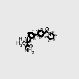 CC(N)(Cc1cccc(-c2ccc(C(=O)N3CCCCC3)cc2)c1)C(=O)CN